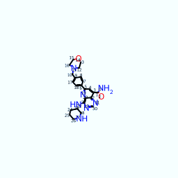 NC(=O)c1cc(-c2ccc(CN3CCOCC3)cc2)nc2c(N[C@H]3CCCNC3)ncnc12